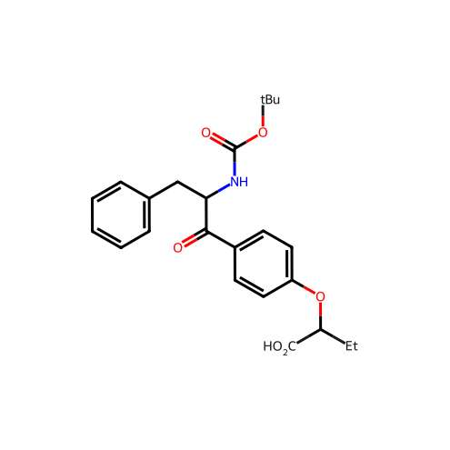 CCC(Oc1ccc(C(=O)C(Cc2ccccc2)NC(=O)OC(C)(C)C)cc1)C(=O)O